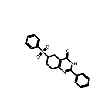 O=c1[nH]c(-c2ccccc2)nc2c1CC(S(=O)(=O)c1ccccc1)CC2